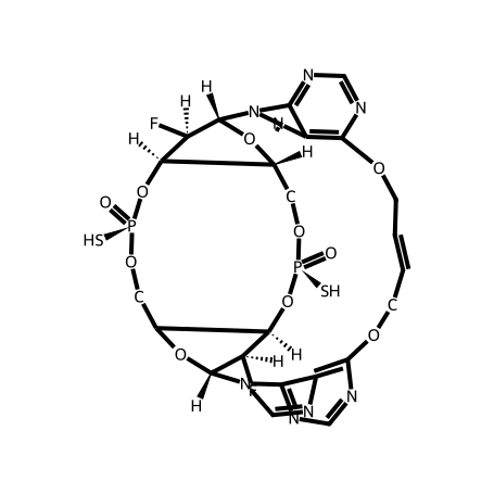 O=[P@@]1(S)OCC2O[C@@H]3[C@H](F)[C@@H]2O[P@](=O)(S)OC[C@H]2O[C@H]([C@H](F)[C@@H]2O1)n1cnc2c(ncnc21)OC/C=C/COc1ncnc2c1ncn23